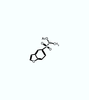 CC(=O)ON(C)S(=O)(=O)c1ccc2occc2c1